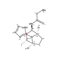 C[C@@H]1C[C@@H](NC(=O)OC(C)(C)C)[C@H]2CC[C@@H]1N2c1nnn[nH]1